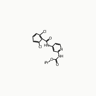 CC(C)OC(=O)Nc1cc(NC(=O)c2c(Cl)cccc2Cl)ccn1